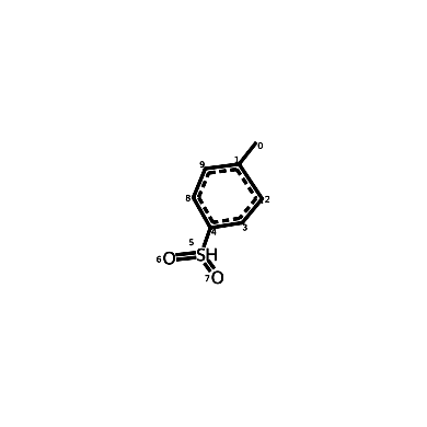 Cc1[c]cc([SH](=O)=O)cc1